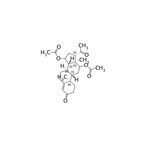 CC(=O)OC1C[C@H](C(C)=O)[C@@]2(C)C(OC(C)=O)C[C@H]3[C@@H](CCC4=CC(=O)CC[C@@]43C)[C@H]12